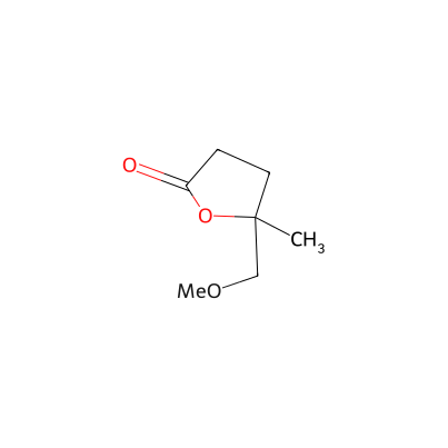 COCC1(C)CCC(=O)O1